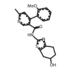 COc1ccccc1-c1cc(C)ncc1C(=O)Nc1nc2c(s1)CC(O)CC2